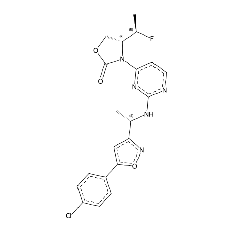 C[C@H](Nc1nccc(N2C(=O)OC[C@@H]2[C@@H](C)F)n1)c1cc(-c2ccc(Cl)cc2)on1